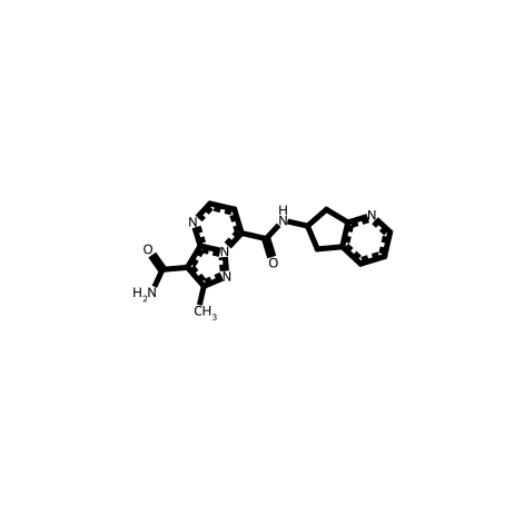 Cc1nn2c(C(=O)NC3Cc4cccnc4C3)ccnc2c1C(N)=O